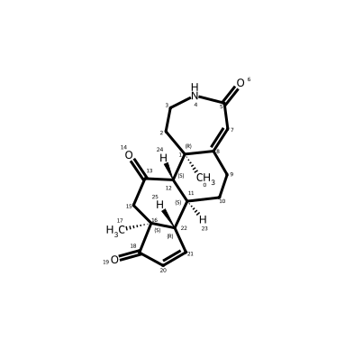 C[C@]12CCNC(=O)C=C1CC[C@@H]1[C@@H]2C(=O)C[C@]2(C)C(=O)C=C[C@@H]12